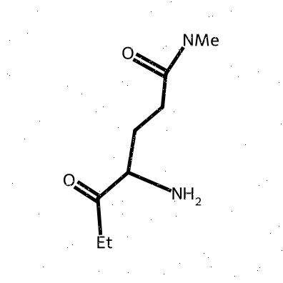 CCC(=O)C(N)CCC(=O)NC